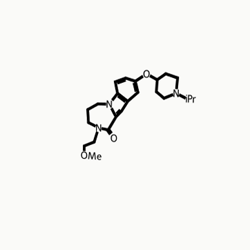 COCCN1CCCn2c(cc3cc(OC4CCN(C(C)C)CC4)ccc32)C1=O